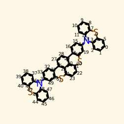 c1ccc2c(c1)Sc1ccccc1N2c1ccc2c(c1)Sc1ccc3c4c(ccc-2c14)-c1ccc(N2c4ccccc4Sc4ccccc42)cc1S3